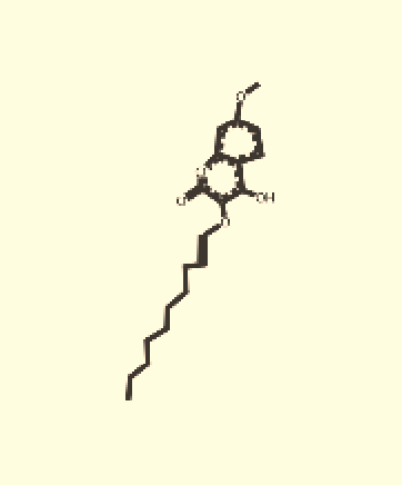 CCCCCCCCC=COc1c(O)c2ccc(OC)cc2oc1=O